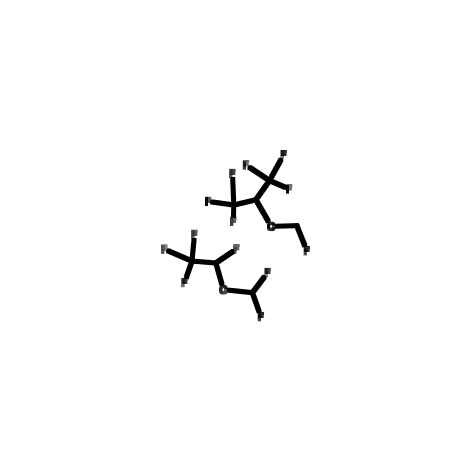 FC(F)OC(F)C(F)(F)F.FCOC(C(F)(F)F)C(F)(F)F